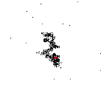 CC(C)C[C@H](NC(=O)[C@H](Cc1c[nH]cn1)NC(=O)[C@H](Cc1c[nH]c2ccccc12)NC(=O)[C@H](C)NC(=O)[C@H](CC=O)NC(=O)[C@H](CC(=O)O)NS)C(=O)NCC(=O)N[C@@H](CCC(=O)O)C(=O)N[C@@H](CC(C)C)C(=O)N[C@H](C(=O)N[C@@H](Cc1c[nH]c2ccccc12)C(=O)NC(Cc1ccccc1CN)C(=O)N[C@H](C(N)=O)[C@@H](C)O)C(C)C